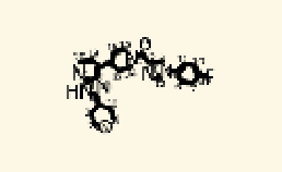 O=C(c1cn(-c2ccc(F)cc2)cn1)N1CCC(c2ccnc3[nH]c(C4CCOCC4)nc23)CC1